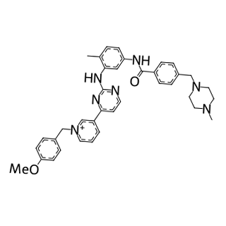 COc1ccc(C[n+]2cccc(-c3ccnc(Nc4cc(NC(=O)c5ccc(CN6CCN(C)CC6)cc5)ccc4C)n3)c2)cc1